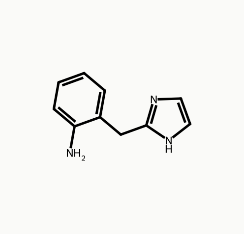 Nc1ccccc1Cc1ncc[nH]1